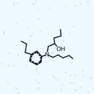 CCCCCN(CC(O)CCC)c1cccc(CCC)c1